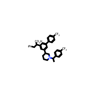 CC(C)CC(C(=O)O)c1cc(-c2ccc(C(F)(F)F)cc2)cc(C2CCCN(C(C)c3ccc(C(F)(F)F)cc3)C2)c1